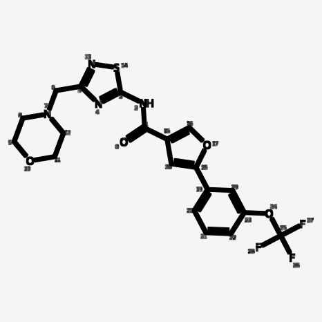 O=C(Nc1nc(CN2CCOCC2)ns1)c1coc(-c2cccc(OC(F)(F)F)c2)c1